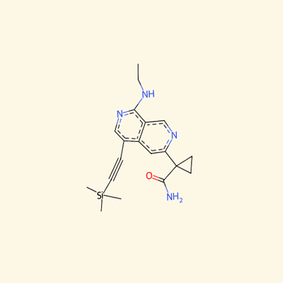 CCNc1ncc(C#C[Si](C)(C)C)c2cc(C3(C(N)=O)CC3)ncc12